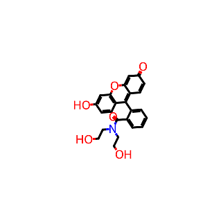 O=C(c1ccccc1-c1c2ccc(=O)cc-2oc2cc(O)ccc12)N(CCO)CCO